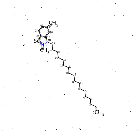 CCCCCCCCCCCCCCCCCCc1c2cc(C)ccc2[se][n+]1C